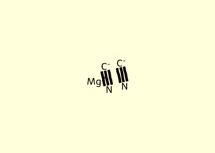 [C-]#N.[C-]#N.[Mg+2]